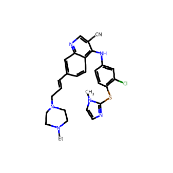 CCN1CCN(C/C=C/c2ccc3c(Nc4ccc(Sc5nccn5C)c(Cl)c4)c(C#N)cnc3c2)CC1